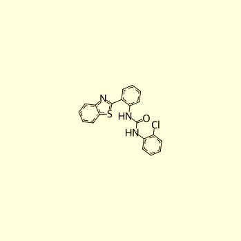 O=C(Nc1ccccc1Cl)Nc1ccccc1-c1nc2ccccc2s1